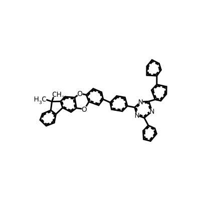 CC1(C)c2ccccc2-c2cc3c(cc21)Oc1ccc(-c2ccc(-c4nc(-c5ccccc5)nc(-c5cccc(-c6ccccc6)c5)n4)cc2)cc1O3